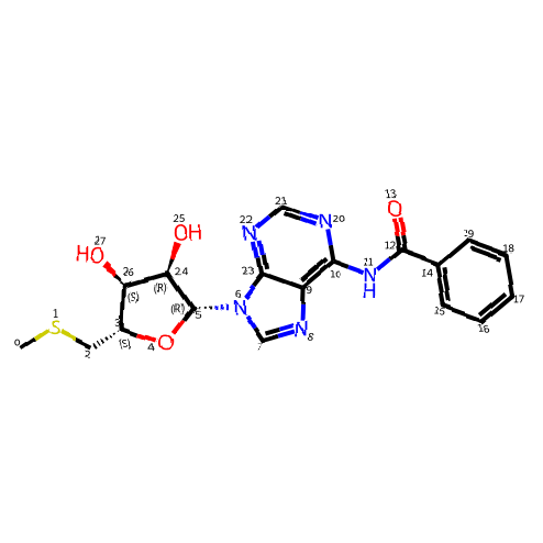 CSC[C@H]1O[C@@H](n2cnc3c(NC(=O)c4ccccc4)ncnc32)[C@H](O)[C@@H]1O